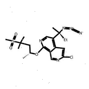 CC[C@@](C)(N=[N+]=[N-])c1cnc(O[C@H](C)CC(C)(C)S(C)(=O)=O)c2cnc(Cl)cc12